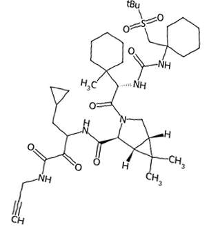 C#CCNC(=O)C(=O)C(CC1CC1)NC(=O)[C@@H]1[C@@H]2[C@H](CN1C(=O)[C@@H](NC(=O)NC1(CS(=O)(=O)C(C)(C)C)CCCCC1)C1(C)CCCCC1)C2(C)C